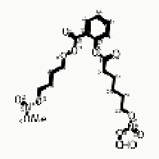 CO[N+](=O)OCCCCOOC(=O)c1ccccc1OC(=O)CCCCCO[N+](=O)OC=O